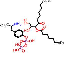 CCCCCCCCCCCCCCCC(=O)OC(C(=O)CCCCCCCCCCCCCCC)C(O)CO.N[C@@H](Cc1ccc(OP(=O)(O)OP(=O)(O)O)cc1)C(=O)O